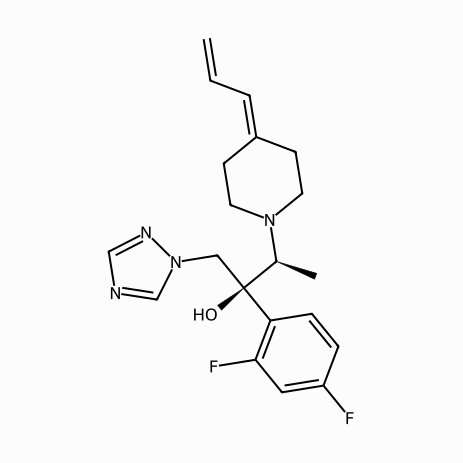 C=CC=C1CCN([C@@H](C)[C@@](O)(Cn2cncn2)c2ccc(F)cc2F)CC1